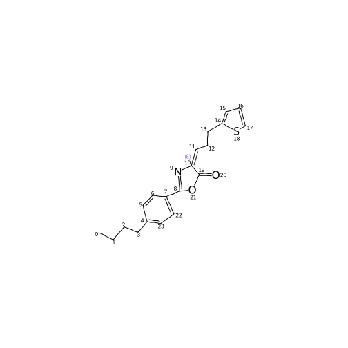 CCCCc1ccc(C2=N/C(=C/CCc3cccs3)C(=O)O2)cc1